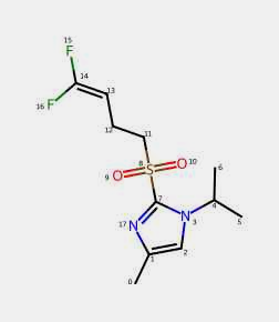 Cc1cn(C(C)C)c(S(=O)(=O)CCC=C(F)F)n1